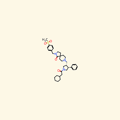 CS(=O)(=O)c1ccc(CN2CCC3(CCN(C[C@H]4CN(C(=O)CC5CCCCC5)C[C@@H]4c4ccccc4)CC3)C2=O)cc1